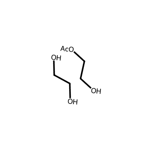 CC(=O)OCCO.OCCO